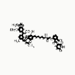 COc1cc([C@@H](CC(=O)O)c2ccc(C)c(CN3C[C@@H](C)Oc4cc(CCCCCCNC(=O)COc5cccc6c5C(=O)N(C5CCC(=O)NC5=O)C6=O)ccc4S3(O)O)c2)cc2nnn(C)c12